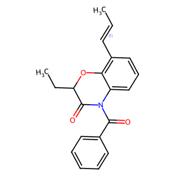 C/C=C/c1cccc2c1OC(CC)C(=O)N2C(=O)c1ccccc1